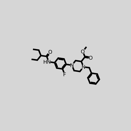 CCC(CC)C(=O)Nc1ccc(N2CCN(Cc3ccccc3)C(C(=O)OC)C2)c(F)c1